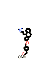 COC(=O)Cc1ccc(COc2ccc3c(c2)CCc2ccccc2C3CCCN(C)C)cc1